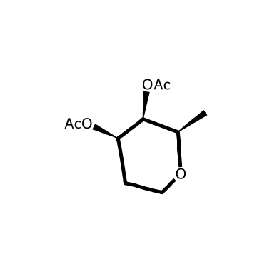 CC(=O)O[C@H]1[C@@H](C)OCC[C@H]1OC(C)=O